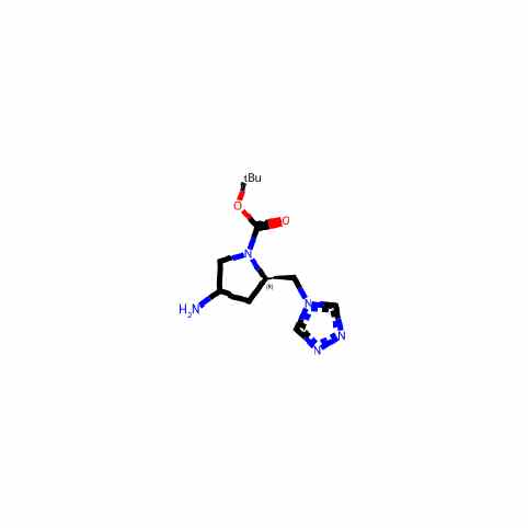 CC(C)(C)OC(=O)N1CC(N)C[C@@H]1Cn1cnnc1